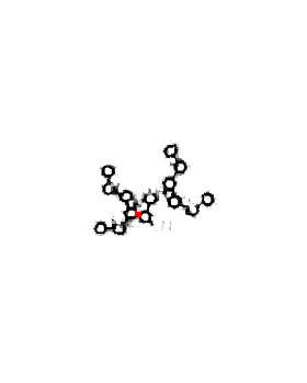 N#Cc1cc(-c2cc(-n3c4ccc(-c5cccc(-c6ccccc6)n5)cc4c4cc(-c5cccc(-c6ccccc6)n5)ccc43)ncc2-n2c3ccc(-c4cccc(-c5ccccc5)n4)cc3c3cc(-c4cccc(-c5ccccc5)n4)ccc32)cc(C(F)(F)F)c1